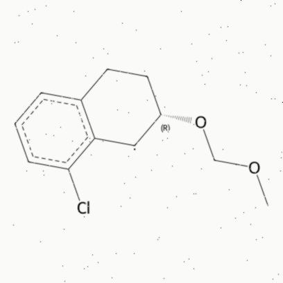 COCO[C@@H]1[CH]c2c(Cl)cccc2CC1